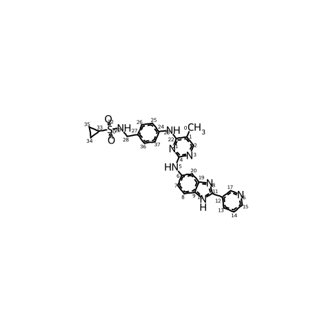 Cc1cnc(Nc2ccc3[nH]c(-c4cccnc4)nc3c2)nc1Nc1ccc(CNS(=O)(=O)C2CC2)cc1